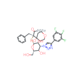 CNC(=O)[C@@](Cc1ccccc1)(S[C@@H]1O[C@H](CO)[C@H](O)[C@H](n2cc(-c3cc(F)c(F)c(F)c3)nn2)[C@H]1O)C1(O)CCOCC1